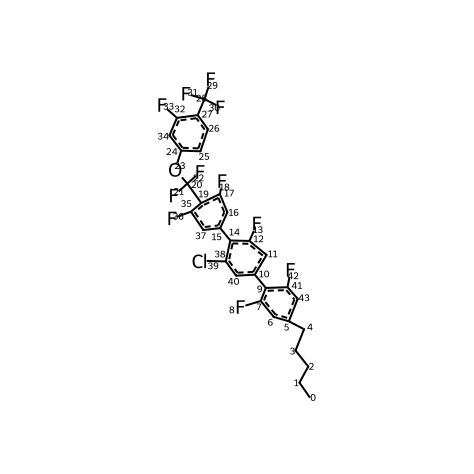 CCCCCc1cc(F)c(-c2cc(F)c(-c3cc(F)c(C(F)(F)Oc4ccc(C(F)(F)F)c(F)c4)c(F)c3)c(Cl)c2)c(F)c1